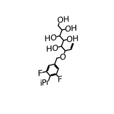 C=CC(OCc1cc(F)c(C(C)C)c(F)c1)C(O)C(O)C(O)C(O)CO